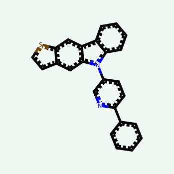 c1ccc(-c2ccc(-n3c4ccccc4c4cc5sccc5cc43)cn2)cc1